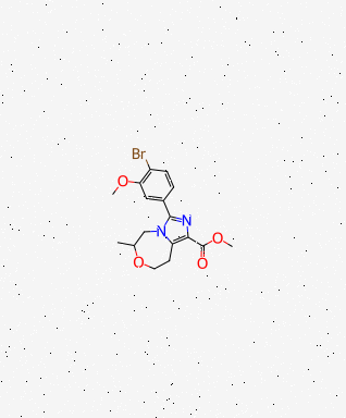 COC(=O)c1nc(-c2ccc(Br)c(OC)c2)n2c1CCOC(C)C2